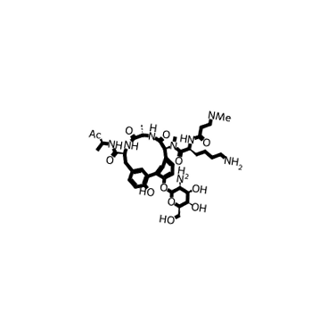 CNCCC(=O)N[C@@H](CCCCN)C(=O)N(C)[C@@H]1C(=O)N[C@@H](C)C(=O)N[C@H](C(=O)N[C@@H](C)C(C)=O)Cc2ccc(O)c(c2)-c2cc1ccc2OC1O[C@H](CO)[C@@H](O)[C@H](O)[C@H]1N